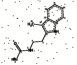 CCCCC(=O)NCCc1[nH]c2ccccc2c1C